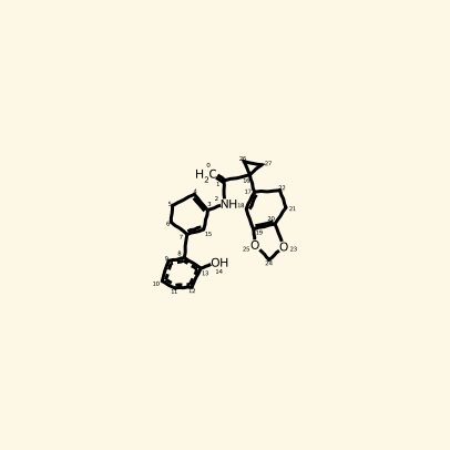 C=C(NC1=CCCC(c2ccccc2O)=C1)C1(C2=CC3=C(CC2)OCO3)CC1